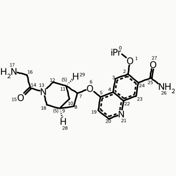 CC(C)Oc1cc2c(OC3C[C@@H]4C[C@H]3CN(C(=O)CN)C4)ccnc2cc1C(N)=O